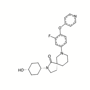 O=C1N([C@H]2CC[C@@H](O)CC2)CC[C@]12CCCN(c1ccc(Oc3ccncc3)c(F)c1)C2